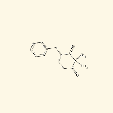 CC1(C)C(=O)CCN(Cc2ccccc2)C1=O